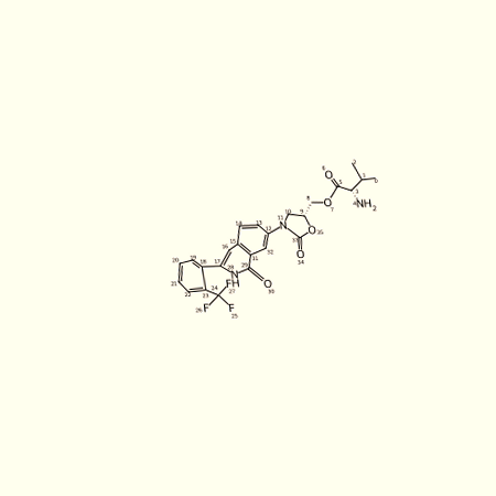 CC(C)[C@H](N)C(=O)OC[C@H]1CN(c2ccc3cc(-c4ccccc4C(F)(F)F)[nH]c(=O)c3c2)C(=O)O1